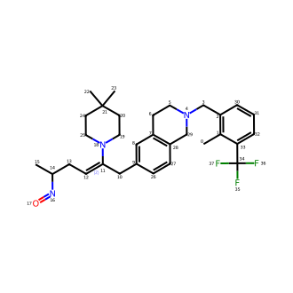 Cc1c(CN2CCc3cc(C/C(=C/CC(C)N=O)N4CCC(C)(C)CC4)ccc3C2)cccc1C(F)(F)F